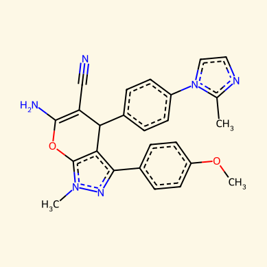 COc1ccc(-c2nn(C)c3c2C(c2ccc(-n4ccnc4C)cc2)C(C#N)=C(N)O3)cc1